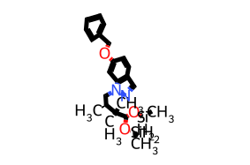 C[SiH2]OC(O[SiH2]C)C(C)(C)[C@H](C)Cn1ncc2ccc(OCc3ccccc3)cc21